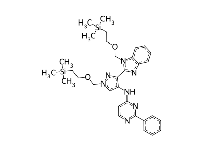 C[Si](C)(C)CCOCn1cc(Nc2ccnc(-c3ccccc3)n2)c(-c2nc3ccccc3n2COCC[Si](C)(C)C)n1